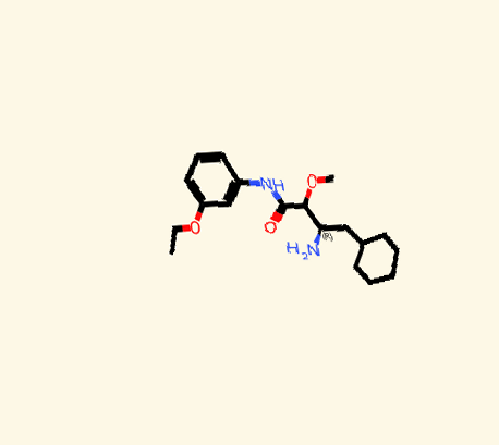 CCOc1cccc(NC(=O)C(OC)[C@H](N)CC2CCCCC2)c1